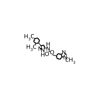 Cc1ccc(-c2cc(NC(=O)OCc3ccc4c(c3)ncn4C)[nH]n2)c(C)c1